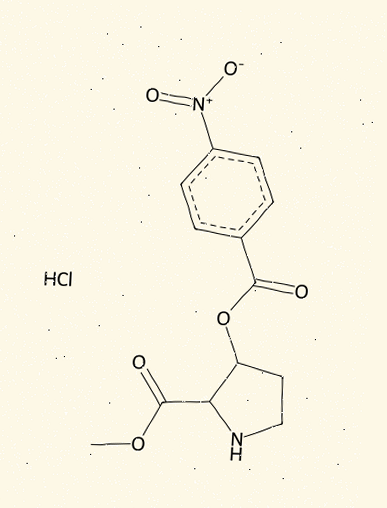 COC(=O)C1NCCC1OC(=O)c1ccc([N+](=O)[O-])cc1.Cl